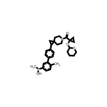 Cc1ccc(P(C)O)cc1-c1ccc(C2CC23CCN(C(=O)C2(OC4CCCCO4)CC2)CC3)cc1